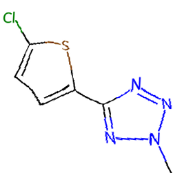 Cn1nnc(-c2ccc(Cl)s2)n1